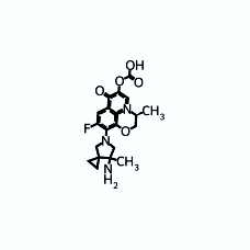 C[C@H]1COc2c(N3CC(C)(N)C4(CC4)C3)c(F)cc3c(=O)c(OC(=O)O)cn1c23